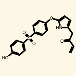 C=CC(=O)Cc1ccc(Oc2ccc(S(=O)(=O)c3ccc(O)cc3)cc2)[nH]1